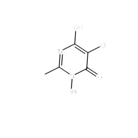 Cc1nc(O)c(Cl)c(=O)n1C(C)C